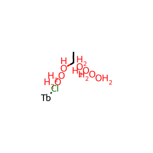 CCO.O.O.O.O.O.O.[Cl][Tb]